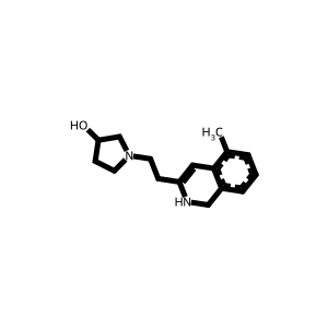 Cc1cccc2c1C=C(CCN1CCC(O)C1)NC2